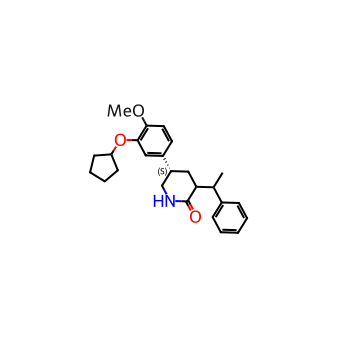 COc1ccc([C@H]2CNC(=O)C(C(C)c3ccccc3)C2)cc1OC1CCCC1